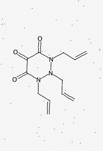 C=CCn1c(=O)c(=O)c(=O)n(CC=C)n1CC=C